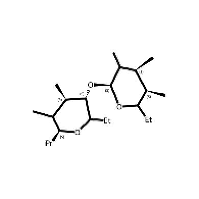 CCC1O[C@@H](C(C)C)C(C)[C@@H](C)[C@@H]1O[C@@H]1OC(CC)[C@H](C)[C@H](C)C1C